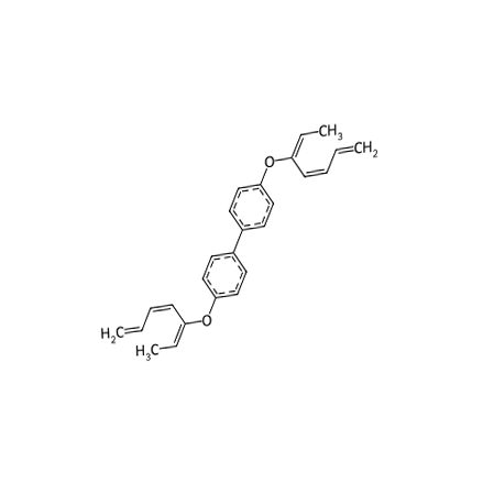 C=C/C=C\C(=C/C)Oc1ccc(-c2ccc(OC(/C=C\C=C)=C/C)cc2)cc1